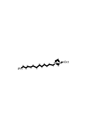 CCCCCCCCn1cc[n+](CCCCCCCCCCCCC(C)C)c1